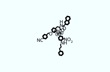 N#Cc1ccc(COc2ccc(CC(NC(=O)c3ccc4ccccc4c3)C(=O)NS(=O)(=O)c3ccc(NCCCc4ccccc4)c([N+](=O)[O-])c3)cc2)cc1